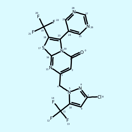 O=c1cc(Cn2nc(Cl)cc2C(F)(F)F)nc2sc(C(F)(F)F)c(-c3cncnc3)n12